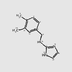 Cc1ccc(CNc2ncc[nH]2)cc1C